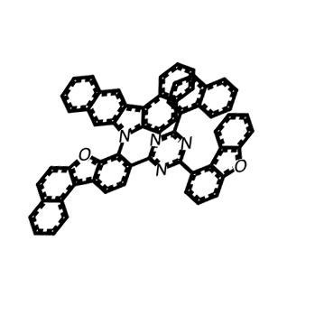 c1ccc2cc3c(cc2c1)c1c2ccccc2ccc1n3-c1c(-c2nc(-c3cccc4ccccc34)nc(-c3cccc4oc5ccccc5c34)n2)ccc2c1oc1ccc3ccccc3c12